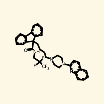 O=C(NCC(F)(F)C(F)(F)F)C1(CCCCN2CCN(c3ccc4ccccc4n3)CC2)c2ccccc2-c2ccccc21